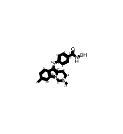 Cc1ccc2c(Sc3ccc(C(=O)NO)cc3)c3n(c2c1)CN(C)CC3